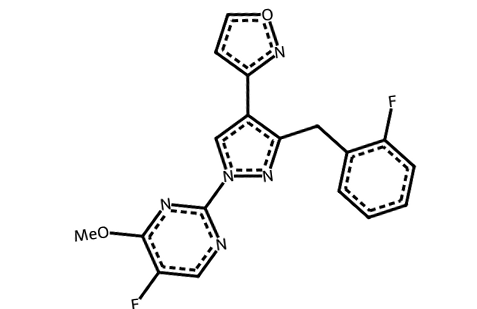 COc1nc(-n2cc(-c3ccon3)c(Cc3ccccc3F)n2)ncc1F